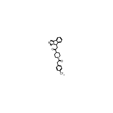 O=C(CC1c2ccccc2-c2cnnn21)C1CCN(C(=O)Cc2ccc(C(F)(F)F)cc2)CC1